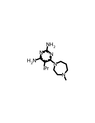 CC(C)c1c(N)nc(N)nc1N1CCCN(C)CC1